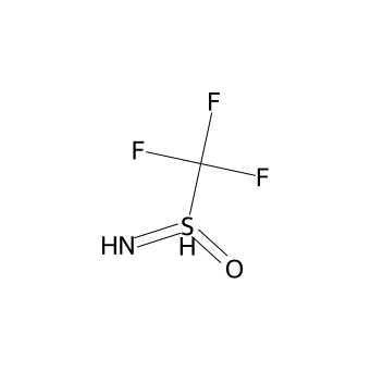 N=[SH](=O)C(F)(F)F